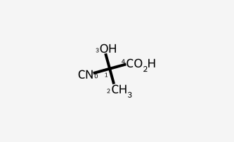 [C-]#[N+]C(C)(O)C(=O)O